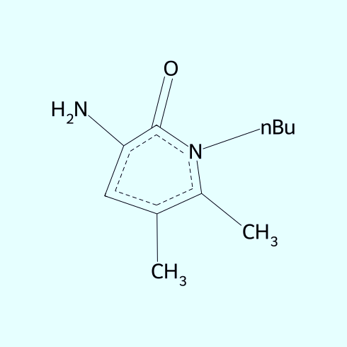 CCCCn1c(C)c(C)cc(N)c1=O